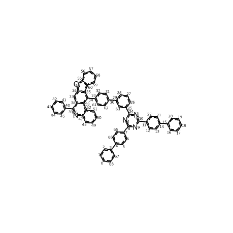 c1ccc(-c2ccc(-c3nc(-c4ccc(-c5ccccc5)cc4)nc(-c4cccc(-c5ccc(-c6c7c(cc8c(-c9ccccc9)nc9ccccc9c68)oc6ccccc67)cc5)c4)n3)cc2)cc1